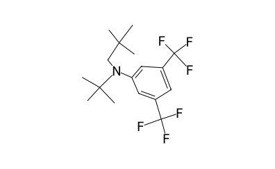 CC(C)(C)CN(c1cc(C(F)(F)F)cc(C(F)(F)F)c1)C(C)(C)C